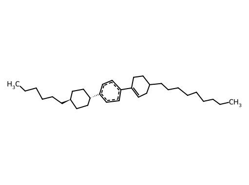 CCCCCCCCCC1CC=C(c2ccc([C@H]3CC[C@H](CCCCCC)CC3)cc2)CC1